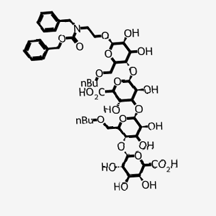 CCCCOCC1O[C@@H](OCCN(Cc2ccccc2)C(=O)OCc2ccccc2)[C@@H](O)C(O)[C@@H]1O[C@@H]1OC(C(=O)O)[C@@H](O)C(O[C@@H]2OC(COCCCC)[C@@H](O[C@@H]3OC(C(=O)O)[C@@H](O)C(O)[C@@H]3O)C(O)[C@@H]2O)[C@@H]1O